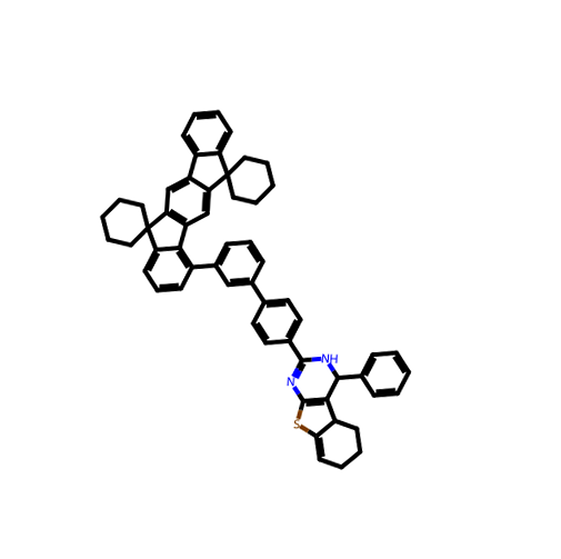 C1=C2SC3=C(C2CCC1)C(c1ccccc1)NC(c1ccc(-c2cccc(-c4cccc5c4-c4cc6c(cc4C54CCCCC4)-c4ccccc4C64CCCCC4)c2)cc1)=N3